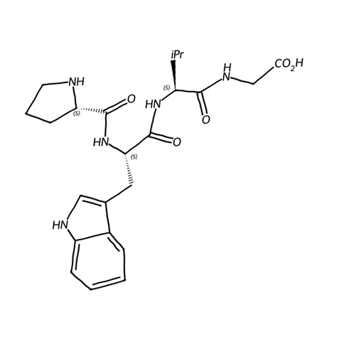 CC(C)[C@H](NC(=O)[C@H](Cc1c[nH]c2ccccc12)NC(=O)[C@@H]1CCCN1)C(=O)NCC(=O)O